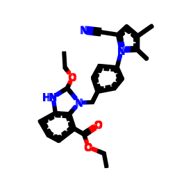 CCOC(=O)c1cccc2c1N(Cc1ccc(-n3c(C#N)cc(C)c3C)cc1)C(OCC)N2